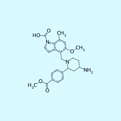 COC(=O)c1ccc(C2CC(N)CCN2Cc2c(OC)cc(C)c3c2ccn3C(=O)O)cc1